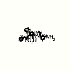 NCc1cccc(-c2ccnc(Nc3ccc(N4CCOCC4)c(CNC(Cc4ccccc4)C(=O)O)c3)n2)c1